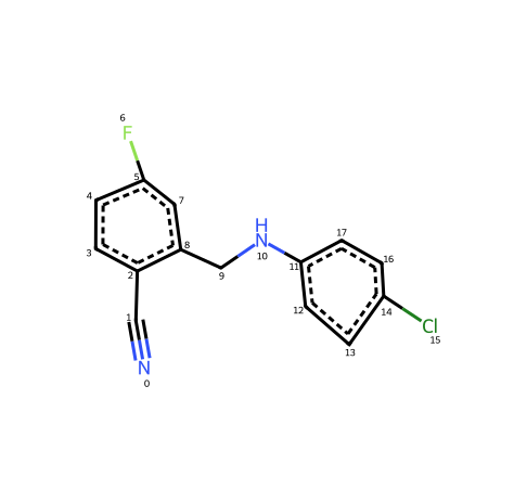 N#Cc1ccc(F)cc1CNc1ccc(Cl)cc1